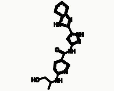 CC(CO)Nc1ccc(C(=O)Nc2cc(-c3nc4ccccc4[nH]3)[nH]n2)cn1